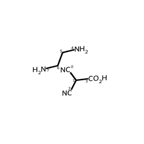 N#CC(C#N)C(=O)O.NCCN